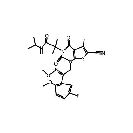 CO/N=C(/Cn1c(=O)n(C(C)(C)C(=O)NC(C)C)c(=O)c2c(C)c(C#N)sc21)c1cc(F)ccc1OC